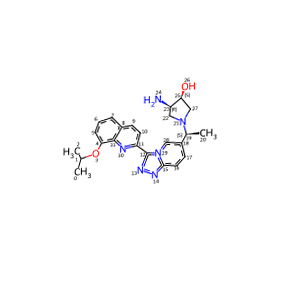 CC(C)Oc1cccc2ccc(-c3nnc4ccc([C@H](C)N5C[C@@H](N)[C@@H](O)C5)cn34)nc12